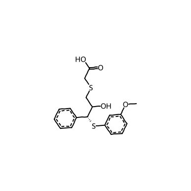 COc1cccc(S[C@H](c2ccccc2)C(O)CSCC(=O)O)c1